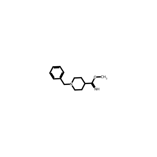 COC(=N)C1CCN(Cc2ccccc2)CC1